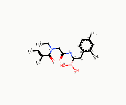 CC=C(C)C(=O)N(CC)CC(=O)N[C@@H](Cc1ccc(C)cc1C)B(O)O